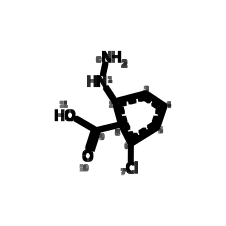 NNc1cccc(Cl)c1C(=O)O